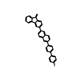 C=C1c2ccccc2-c2cc(-c3ccc4cc(-c5ccc(-c6ccc(F)cc6)cc5)ccc4c3)ccc21